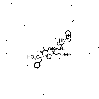 CC[C@H](C)[C@@H](C(CC(=O)N1CCC[C@H]1C(OC)C(C)C(=O)N[C@@H](Cc1ccccc1)C(=O)O)OC)N(C)C(=O)CNC(=O)[C@@]1(C)CCCN1C